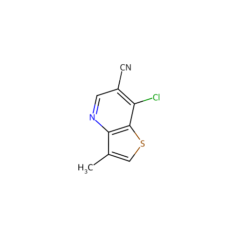 Cc1csc2c(Cl)c(C#N)cnc12